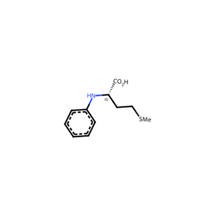 CSCC[C@H](Nc1ccccc1)C(=O)O